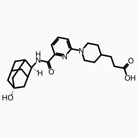 O=C(O)CCC1CCN(c2cccc(C(=O)N[C@H]3C4CC5CC3C[C@](O)(C5)C4)n2)CC1